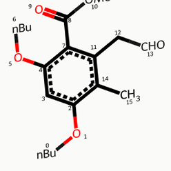 CCCCOc1cc(OCCCC)c(C(=O)OC)c(CC=O)c1C